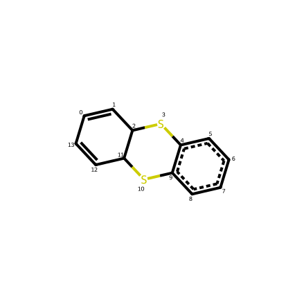 C1=CC2Sc3ccccc3SC2C=C1